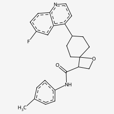 Cc1ccc(NC(=O)C2COC23CCC(c2ccnc4ccc(F)cc24)CC3)cc1